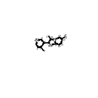 Cc1ccncc1-c1nc2ccc(F)cn2c1C